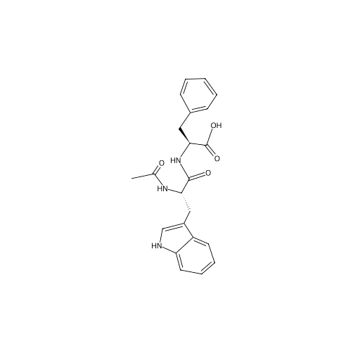 CC(=O)N[C@@H](Cc1c[nH]c2ccccc12)C(=O)N[C@@H](Cc1ccccc1)C(=O)O